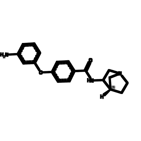 Nc1cccc(Oc2ccc(C(=O)NC3CN4CC[C@H]3C4)cc2)c1